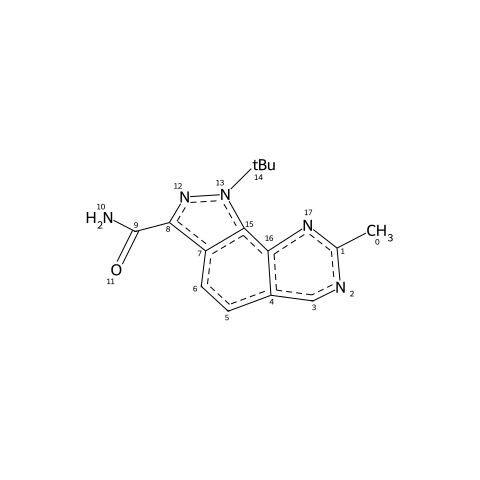 Cc1ncc2ccc3c(C(N)=O)nn(C(C)(C)C)c3c2n1